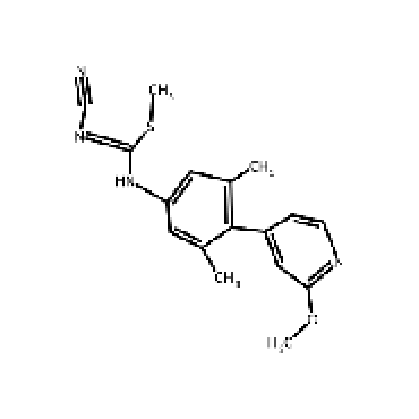 COc1cc(-c2c(C)cc(N/C(=N/C#N)SC)cc2C)ccn1